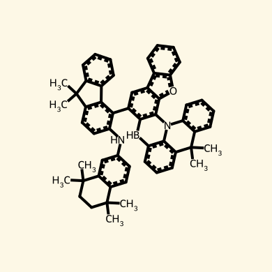 CC1(C)CCC(C)(C)c2cc(Nc3ccc4c(c3-c3cc5c(oc6ccccc65)c5c3Bc3cccc6c3N5c3ccccc3C6(C)C)-c3ccccc3C4(C)C)ccc21